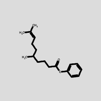 CC(C)=CCCC(C)CCCC(=O)Oc1ccccc1